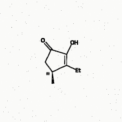 CCC1=C(O)C(=O)C[C@@H]1C